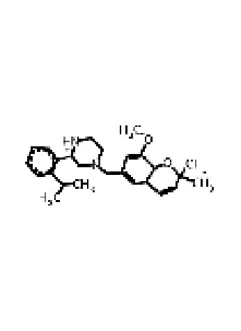 COC1=CC(CN2CCN[C@H](c3ccccc3C(C)C)C2)=CC2C=CC(C)(C)OC12